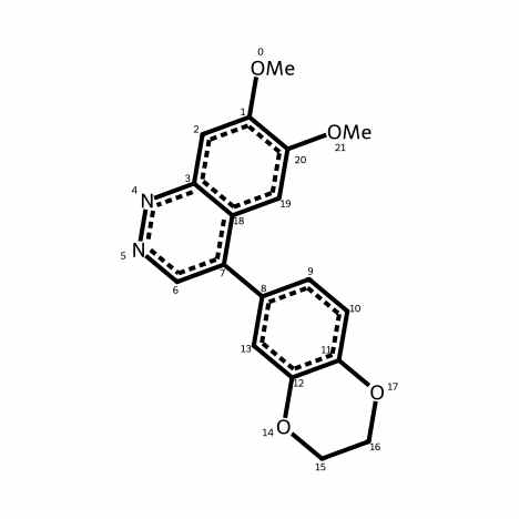 COc1cc2nncc(-c3ccc4c(c3)OCCO4)c2cc1OC